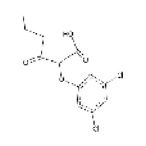 CCCC(=O)C(Oc1cc(Cl)cc(Cl)c1)C(=O)O